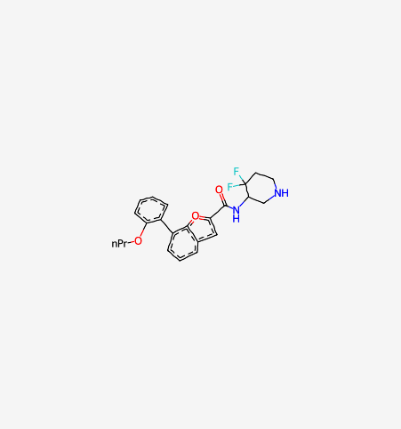 CCCOc1ccccc1-c1cccc2cc(C(=O)NC3CNCCC3(F)F)oc12